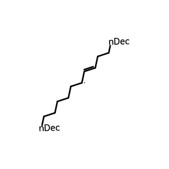 CCCCCCCCCCCCC=C[CH]CCCCCCCCCCCCCCC